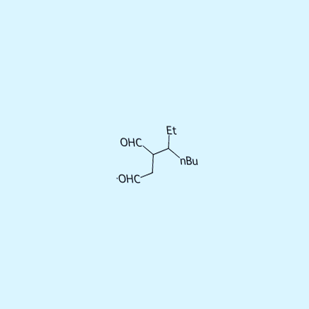 CCCCC(CC)C(C=O)C[C]=O